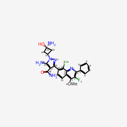 COc1c(F)c(-c2ccccc2)nc2c(F)c(-c3nn([C@H]4C[C@@](N)(O)C4)c(N)c3C(N)=O)ccc12